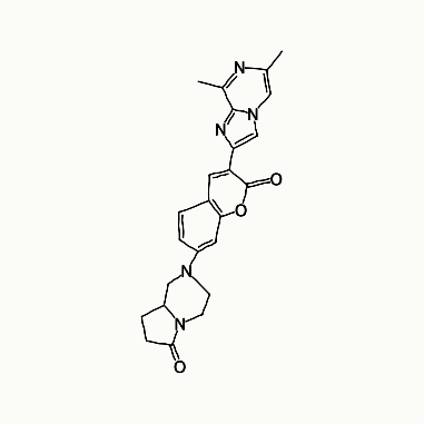 Cc1cn2cc(-c3cc4ccc(N5CCN6C(=O)CCC6C5)cc4oc3=O)nc2c(C)n1